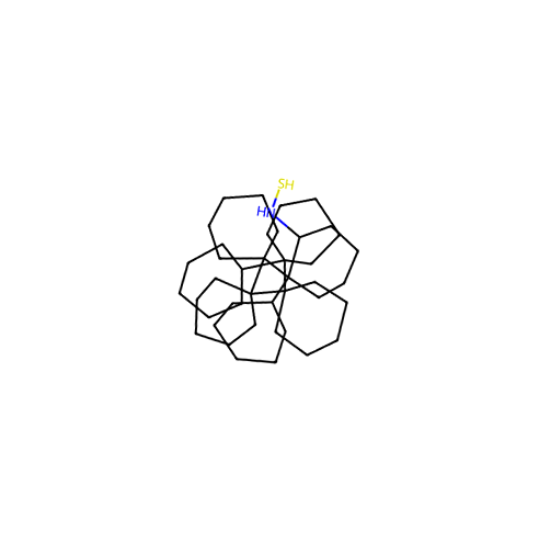 SNC1CCCCC1(C1CCCCC1)C1(C2(C3(C4(C5CCCCC5)CCCCC4)CCCCC3)CCCCC2)CCCCC1